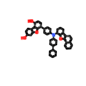 Oc1ccc2c(c1)oc1c(-c3ccc(N(c4ccc(-c5ccccc5)cc4)c4cccc5c4oc4c6ccccc6ccc54)cc3)ccc(O)c12